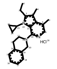 CCc1c(C)c2c(C)cnc(N3CCc4ccccc4C3)c2n1C1CC1.Cl